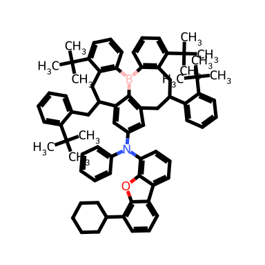 CC(C)(C)c1ccccc1CC1Cc2c(cccc2C(C)(C)C)B2c3cccc(C(C)(C)C)c3CC(c3ccccc3C(C)(C)C)Cc3cc(N(c4ccccc4)c4cccc5c4oc4c(C6CCCCC6)cccc45)cc1c32